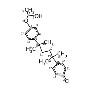 CC(O)Oc1ccc(C(C)(C)CCC(C)(C)c2ccc(Cl)cc2)cc1